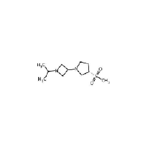 CC(C)N1CC(N2CC[C@H](S(C)(=O)=O)C2)C1